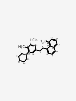 Cc1cnc(CCc2cccc3cccc(C)c23)cc1N1CCCCC1.Cl